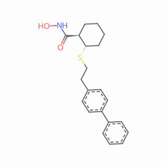 O=C(NO)[C@H]1CCCC[C@@H]1SCCc1ccc(-c2ccccc2)cc1